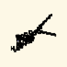 CCCCCCCCOCC(COC(=O)C1=CCS[C@@H]2C(NC(=O)/C(=N\OC)c3csc(N)n3)C(=O)N12)OCCCCCCCC